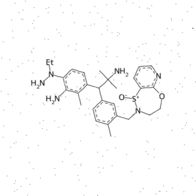 CCN(N)c1ccc(C(c2ccc(C)c(CN3CCOc4ncccc4[S+]3[O-])c2)C(C)(C)N)c(C)c1N